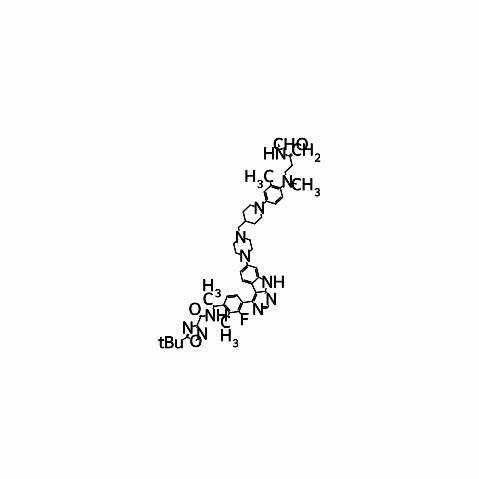 C=C(CCN(C)c1ccc(N2CCC(CN3CCN(c4ccc5c(c4)[nH]c4ncnc(-c6ccc(C(C)NC(=O)c7noc(C(C)(C)C)n7)c(C)c6F)c45)CC3)CC2)cc1C)NC=O